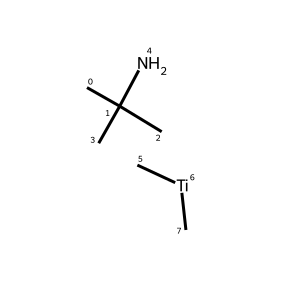 CC(C)(C)N.[CH3][Ti][CH3]